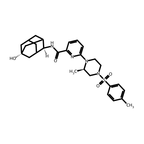 Cc1ccc(S(=O)(=O)N2CCN(c3cccc(C(=O)N[C@H]4C5CC6CC4C[C@](O)(C6)C5)n3)[C@H](C)C2)cc1